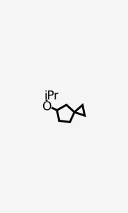 CC(C)OC1CCC2(CC2)C1